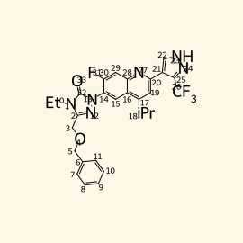 CCn1c(COCc2ccccc2)nn(-c2cc3c(C(C)C)cc(-c4c[nH]nc4C(F)(F)F)nc3cc2F)c1=O